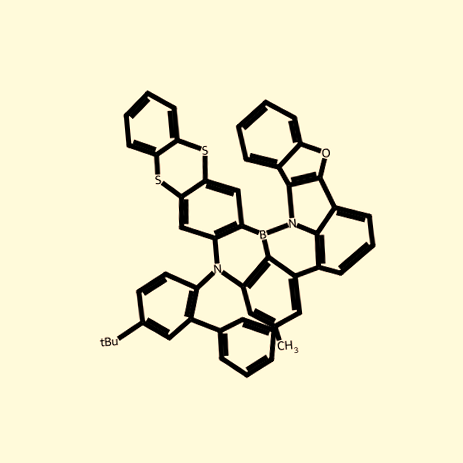 Cc1cc2c3c(c1)N(c1ccc(C(C)(C)C)cc1-c1ccccc1)c1cc4c(cc1B3n1c3c-2cccc3c2oc3ccccc3c21)Sc1ccccc1S4